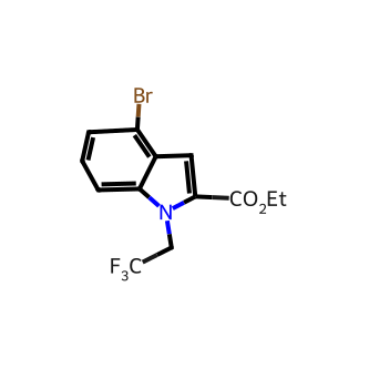 CCOC(=O)c1cc2c(Br)cccc2n1CC(F)(F)F